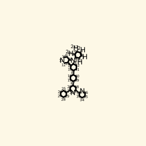 [2H]c1c([2H])c([2H])c(-n2c3ccncc3c3cc(-c4ccc(-c5cc(-c6ccccc6)nc(-c6ccccn6)c5)cc4)ccc32)c([2H])c1[2H]